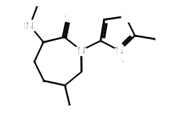 CNC1CCC(C)CN(c2csc(C)n2)C1=O